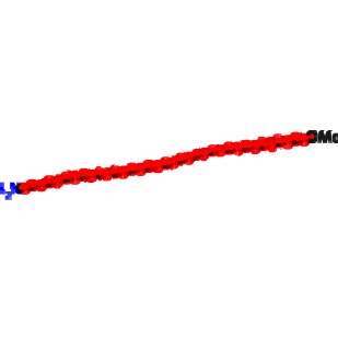 COCCOCCOCCOCCOCCOCCOCCOCCOCCOCCOCCOCCOCCOCCOCCOCCOCCOCCOCCOCCOCCOCCOCCOCCOCCOCCOCCOCCOCCOCCOCCOCCOCCOCCOCCOCCN